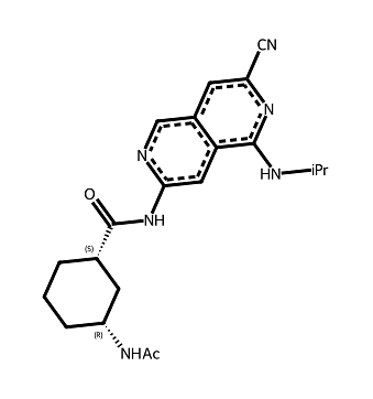 CC(=O)N[C@@H]1CCC[C@H](C(=O)Nc2cc3c(NC(C)C)nc(C#N)cc3cn2)C1